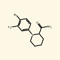 NC(=O)C1CCCCN1c1ccc(Br)c(C(F)(F)F)c1